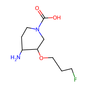 NC1CCN(C(=O)O)CC1OCCCF